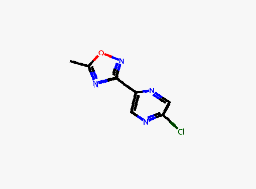 Cc1nc(-c2cnc(Cl)cn2)no1